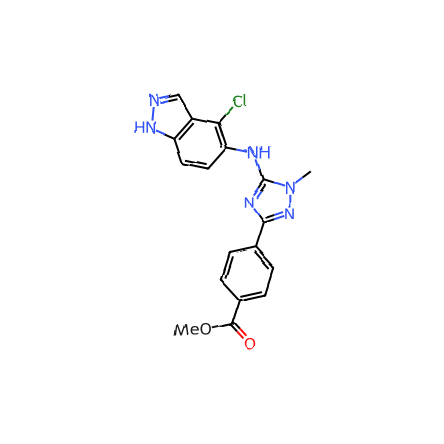 COC(=O)c1ccc(-c2nc(Nc3ccc4[nH]ncc4c3Cl)n(C)n2)cc1